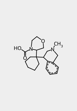 CN1Cc2ccccc2C(C2(C3COCCN3C(=O)O)CCCCC2)C1